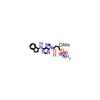 CO[C@H](COS(N)(=O)=O)C[C@@H](O)n1cnc2c(N[C@H]3CCc4ccccc43)ncnc21